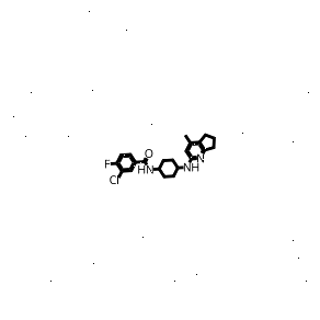 Cc1cc(NC2CCC(NC(=O)c3ccc(F)c(Cl)c3)CC2)nc2c1CCC2